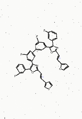 Fc1cccc(-c2nc(/C=C/c3ccco3)oc2-c2cc(F)cc(-c3cc(F)cc(-c4nc(/C=C/c5ccsc5)oc4-c4cccc(F)c4)c3)c2)c1